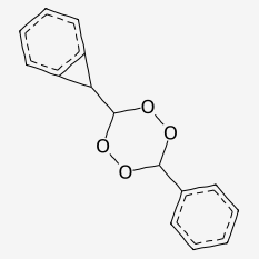 c1ccc(C2OOC(C3c4ccccc43)OO2)cc1